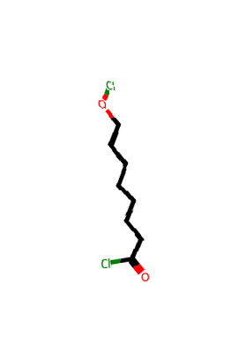 O=C(Cl)CCCCCCCOCl